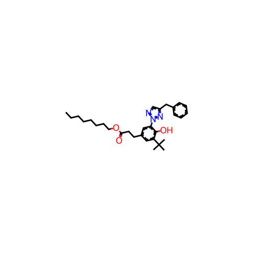 CCCCCCCCOC(=O)CCc1cc(-n2ncc(Cc3ccccc3)n2)c(O)c(C(C)(C)C)c1